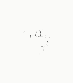 COC(=O)c1cc([C@H]2C[C@@H]2NC(=O)OC(C)(C)C)c(C)s1